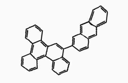 c1ccc2cc3cc(-c4cc5c6ccccc6c6ccccc6c5c5ccccc45)ccc3cc2c1